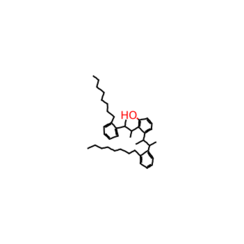 CCCCCCCCc1ccccc1C(C)C(C)c1cccc(O)c1C(C)C(C)c1ccccc1CCCCCCCC